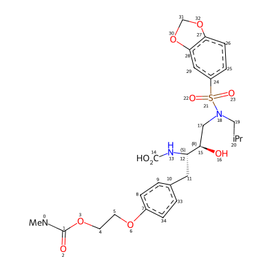 CNC(=O)OCCOc1ccc(C[C@H](NC(=O)O)[C@H](O)CN(CC(C)C)S(=O)(=O)c2ccc3c(c2)OCO3)cc1